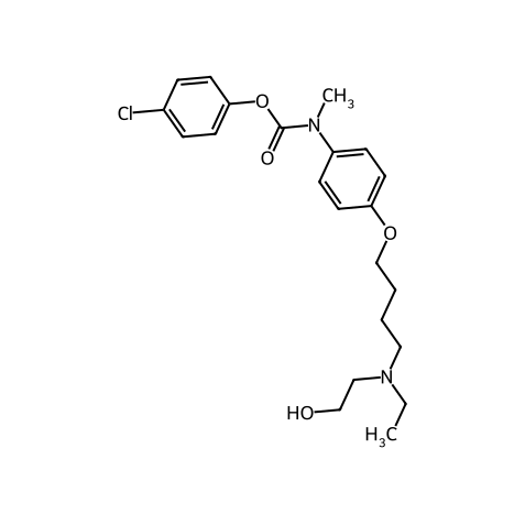 CCN(CCO)CCCCOc1ccc(N(C)C(=O)Oc2ccc(Cl)cc2)cc1